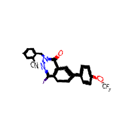 N#Cc1ccccc1Cn1nc(I)c2ccc(-c3ccc(OC(F)(F)F)cc3)cc2c1=O